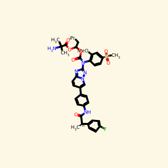 COc1cc(S(C)(=O)=O)ccc1N(C(=O)OC(CC(C)C)OC(=O)C(C)(C)N)c1nc2ccc(-c3ccc(NC(=O)[C@H](C)c4ccc(F)cc4)cc3)cn2n1